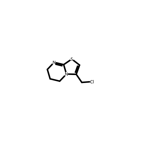 ClCC1=CSC2=NCCCN12